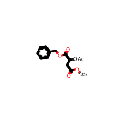 CC(=O)OC(CC(=O)OC(C)(C)C)C(=O)OCc1ccccc1